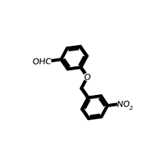 O=Cc1cccc(OCc2cccc([N+](=O)[O-])c2)c1